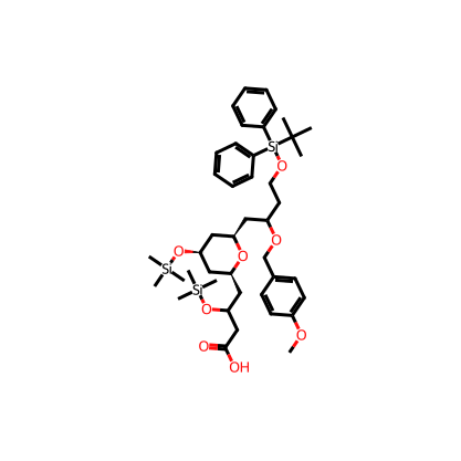 COc1ccc(COC(CCO[Si](c2ccccc2)(c2ccccc2)C(C)(C)C)C[C@@H]2C[C@H](O[Si](C)(C)C)C[C@H](CC(CC(=O)O)O[Si](C)(C)C)O2)cc1